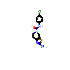 Nc1nc2c(s1)CN(C(=O)Nc1ccc(Cl)cc1)CC2